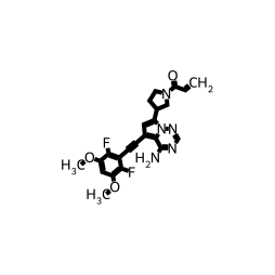 C=CC(=O)N1CCC(c2cc(C#Cc3c(F)c(OC)cc(OC)c3F)c3c(N)ncnn23)C1